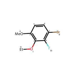 CCOc1c(OC)ccc(Br)c1F